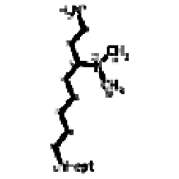 CCCCCCCCCCCCC(CCN)N(C)C